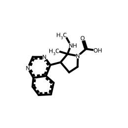 CNC1(C)C(c2ncnc3ccccc23)CCN1C(=O)O